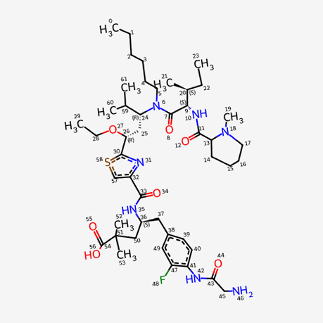 CCCCCCN(C(=O)[C@@H](NC(=O)C1CCCCN1C)[C@@H](C)CC)[C@H](C[C@@H](OCC)c1nc(C(=O)N[C@@H](Cc2ccc(NC(=O)CN)c(F)c2)CC(C)(C)C(=O)O)cs1)C(C)C